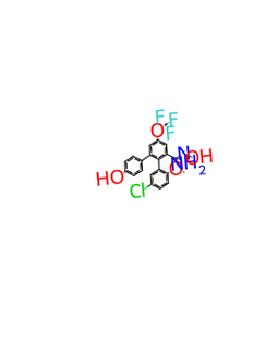 COc1ccc(Cl)cc1-c1c(/C(N)=N/O)cc(OC(F)(F)F)cc1-c1ccc(O)cc1